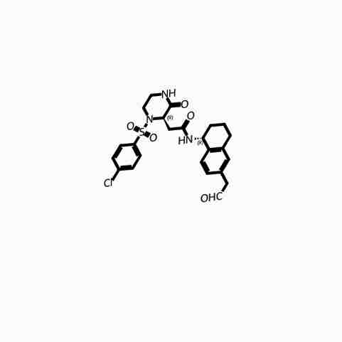 O=CCc1ccc2c(c1)CCC[C@H]2NC(=O)C[C@@H]1C(=O)NCCN1S(=O)(=O)c1ccc(Cl)cc1